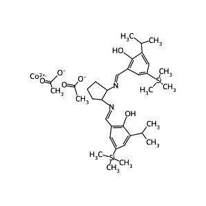 CC(=O)[O-].CC(=O)[O-].CC(C)c1cc([Si](C)(C)C)cc(C=NC2CCCC2N=Cc2cc([Si](C)(C)C)cc(C(C)C)c2O)c1O.[Co+2]